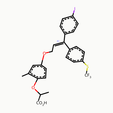 Cc1cc(OC/C=C(/c2ccc(I)cc2)c2ccc(SC(F)(F)F)cc2)ccc1OC(C)C(=O)O